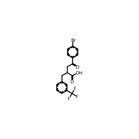 O=C(CC(Cc1cccc(C(F)(F)F)c1)C(=O)O)c1ccc(Br)cc1